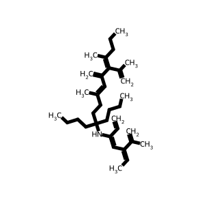 C=C/C(=C\C(=C/C)C(=C)C)NC(CCCC)(CCCC)CC/C(C)=C/C(=C)/C(C(=C)C)=C(\C)CCC